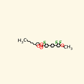 CCCCCCCC1CCC(OC(=O)c2ccc(-c3ccc(-c4ccc(OCC)c(F)c4F)cc3)cc2F)OC1